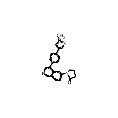 Cn1cc(-c2ccc(-c3cncc4ccc(N5CCCC5=O)cc34)cc2)cn1